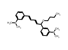 CCCCOC(C=CC=Cc1cccc(N(C)C)c1)c1cccc(N(C)C)c1